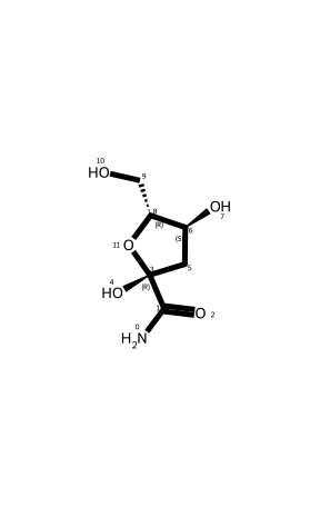 NC(=O)[C@@]1(O)C[C@H](O)[C@@H](CO)O1